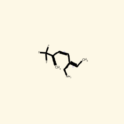 C=C(/C=C\C(=C/C)CN)C(F)(F)F